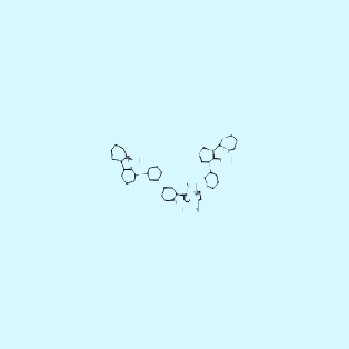 c1cc(-c2ccc3sc4ncc(-c5cccc(-c6cccc7c6oc6ccccc67)c5)nc4c3c2)cc(-c2cccc3c2oc2ccccc23)c1